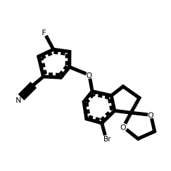 N#Cc1cc(F)cc(Oc2ccc(Br)c3c2CCC32OCCO2)c1